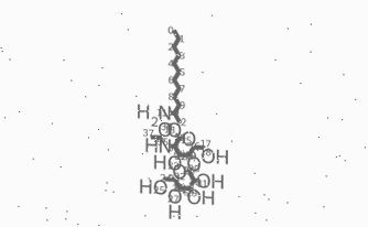 CCCCCCCCCCC(N)CO[C@@H]1OC(CO)[C@@H](O[C@@H]2OC(CO)[C@H](O)[C@H](O)C2O)[C@H](O)C1NC(C)=O